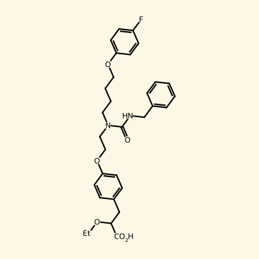 CCOC(Cc1ccc(OCCN(CCCCOc2ccc(F)cc2)C(=O)NCc2ccccc2)cc1)C(=O)O